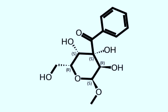 CO[C@H]1O[C@H](CO)[C@H](O)[C@@](O)(C(=O)c2ccccc2)[C@H]1O